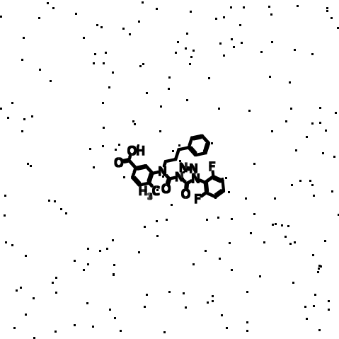 Cc1ccc(C(=O)O)cc1N(CCCc1ccccc1)C(=O)n1nnn(-c2c(F)cccc2F)c1=O